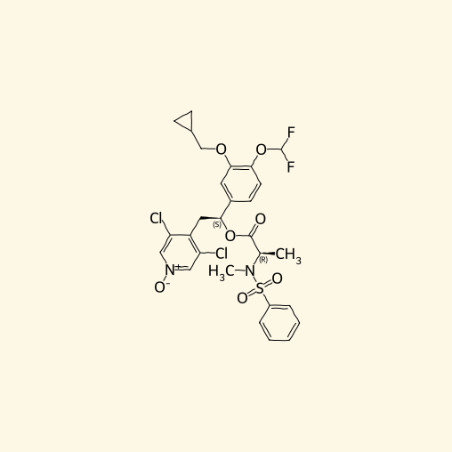 C[C@H](C(=O)O[C@@H](Cc1c(Cl)c[n+]([O-])cc1Cl)c1ccc(OC(F)F)c(OCC2CC2)c1)N(C)S(=O)(=O)c1ccccc1